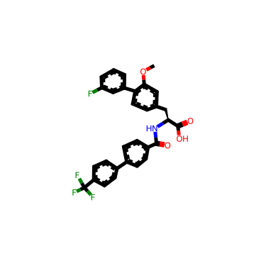 COc1cc(C[C@H](NC(=O)c2ccc(-c3ccc(C(F)(F)F)cc3)cc2)C(=O)O)ccc1-c1cccc(F)c1